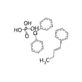 CCC=Cc1ccccc1.O=P(O)(O)O.c1ccc(Oc2ccccc2)cc1